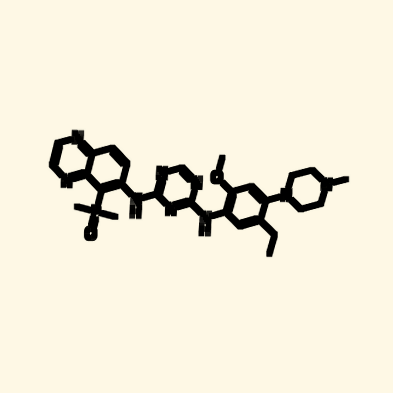 CCc1cc(Nc2ncnc(Nc3ccc4nccnc4c3P(C)(C)=O)n2)c(OC)cc1N1CCN(C)CC1